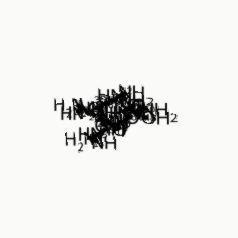 CC(C)C[C@H](NC(=O)[C@H](CC(C)C)NC(=O)[C@H](CCCNC(=N)N)NC(=O)[C@H](CCCNC(=N)N)NC(=O)[C@@H](C)CCCNC(=N)N)C(=O)N[C@@H](CO)C(N)=O